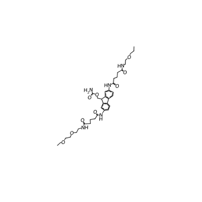 CCCOCCNC(=O)CCCC(=O)Nc1ccc2c(c1)C(COC(N)=O)c1cc(NC(=O)CCCC(=O)NCCOCCOCC)ccc1-2